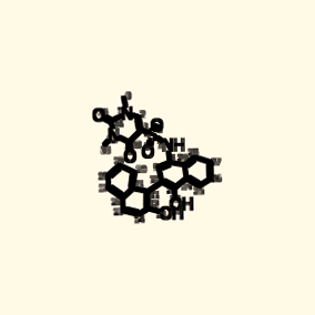 Cn1cc(S(=O)(=O)Nc2cc(-c3c(O)ccc4ccccc34)c(O)c3ccccc23)c(=O)n(C)c1=O